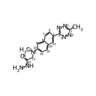 Cc1nnc(-c2ccc3cc(N(C)CC(=O)NN)ccc3c2)nn1